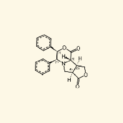 O=C1OC[C@H]2[C@@H]1CN1[C@@H]2C(=O)O[C@H](c2ccccc2)[C@@H]1c1ccccc1